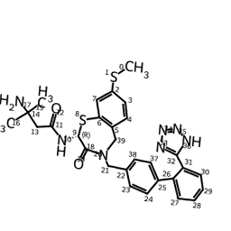 CSc1ccc2c(c1)S[C@@H](NC(=O)CC(C)(C)N)C(=O)N(Cc1ccc(-c3ccccc3-c3nnn[nH]3)cc1)C2